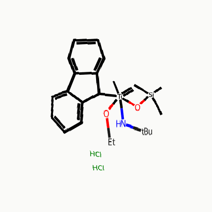 Cl.Cl.[CH2]=[Ti]([CH3])([NH]C(C)(C)C)([O]CC)([O][Si](C)(C)C)[CH]1c2ccccc2-c2ccccc21